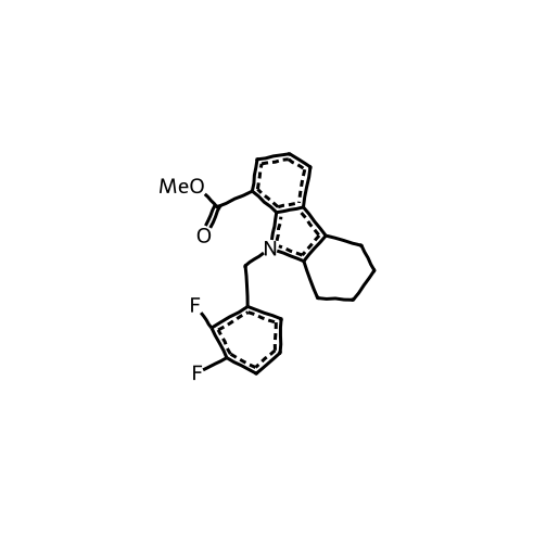 COC(=O)c1cccc2c3c(n(Cc4cccc(F)c4F)c12)CCCC3